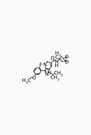 CCOc1ccc(F)c(-c2nn(C(C)C)c3cc(C(=O)NC4(C)CS(=O)(=O)C4)cnc23)c1